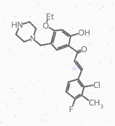 CCOc1cc(O)c(C(=O)/C=C/c2ccc(F)c(C)c2Cl)cc1CN1CCNCC1